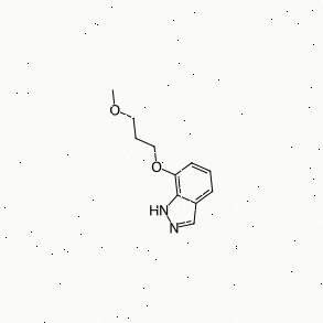 COCCCOc1cccc2cn[nH]c12